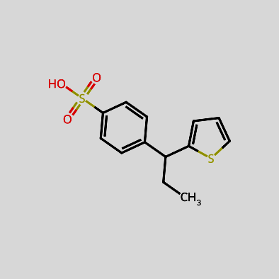 CCC(c1ccc(S(=O)(=O)O)cc1)c1cccs1